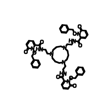 O=C(NCCN1CCCN(CCNC(=O)c2cccc(=O)n2OCc2ccccc2)CCCN(CCNC(=O)c2cccc(=O)n2OCc2ccccc2)CCC1)c1cccc(=O)n1OCc1ccccc1